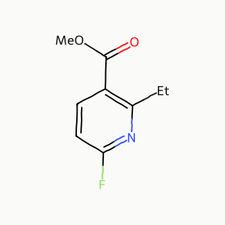 CCc1nc(F)ccc1C(=O)OC